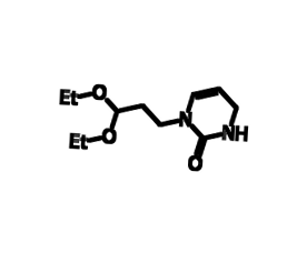 CCOC(CCN1C=CCNC1=O)OCC